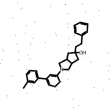 Cc1cccc(C2=CC[CH]C(N3CC4CC(O)(CCc5ccccc5)CC4C3)=C2)c1